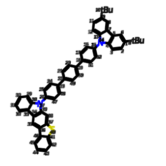 CC(C)(C)c1ccc2c(c1)c1cc(C(C)(C)C)ccc1n2-c1ccc(-c2ccc(-c3ccc(-n4c5ccccc5c5cc6c(cc54)sc4ccccc46)cc3)cc2)cc1